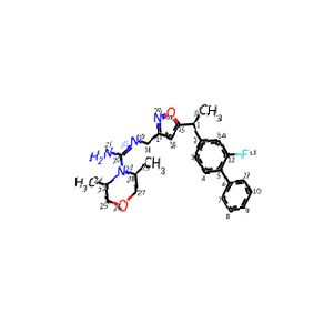 CC(c1ccc(-c2ccccc2)c(F)c1)c1cc(C/N=C(/N)N2C(C)COCC2C)no1